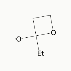 CCC1([O])CCO1